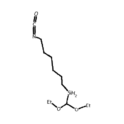 CCOC(OCC)[SiH2]CCCCCCN=C=O